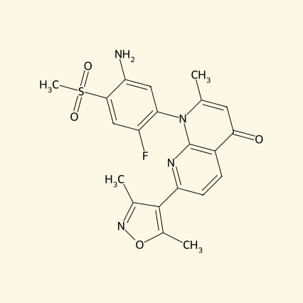 Cc1noc(C)c1-c1ccc2c(=O)cc(C)n(-c3cc(N)c(S(C)(=O)=O)cc3F)c2n1